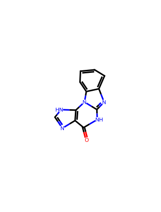 O=c1[nH]c2nc3ccccc3n2c2[nH]cnc12